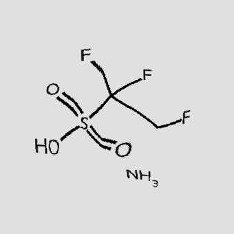 N.O=S(=O)(O)C(F)(F)CF